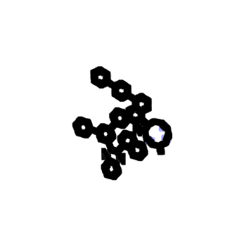 C=C1/C=C\C=C/Cc2c(n(-c3ccc(-c4nc5ccccc5nc4-c4cc(-c5ccccc5)cc(-c5ccccc5)c4)c4ccccc34)c3ccc4c(-c5ccc(-c6ccccc6)cc5)cccc4c23)/C=C\1